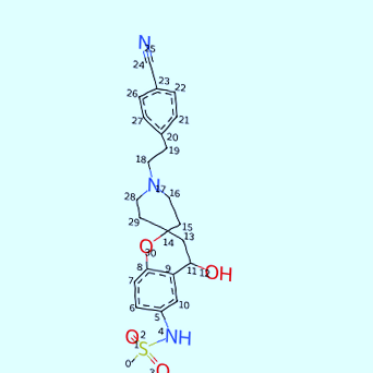 CS(=O)(=O)Nc1ccc2c(c1)C(O)CC1(CCN(CCc3ccc(C#N)cc3)CC1)O2